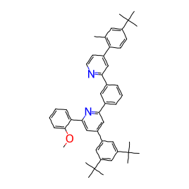 COc1ccccc1-c1cc(-c2cc(C(C)(C)C)cc(C(C)(C)C)c2)cc(-c2cccc(-c3cc(-c4ccc(C(C)(C)C)cc4C)ccn3)c2)n1